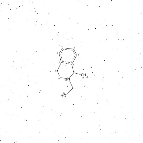 CC1c2ccccc2CCN1CO